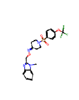 Cn1c(CON=C2CCN(S(=O)(=O)c3ccc(OC(F)(F)F)cc3)CC2)nc2ccccc21